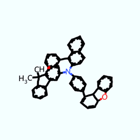 CC1(C)c2ccccc2-c2cc(N(c3ccc(C4=CC=CC5Oc6ccccc6C45)cc3)c3ccc4ccccc4c3-c3ccccc3)ccc21